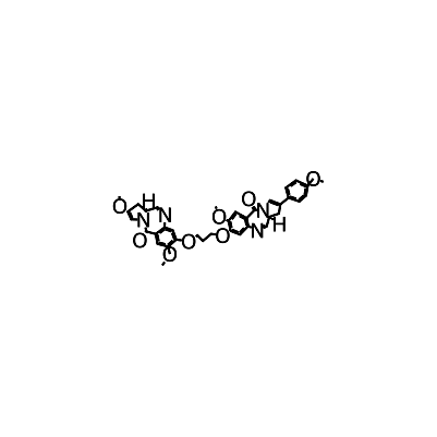 COC1=CN2C(=O)c3cc(OC)c(OCCCOc4cc5c(cc4OC)C(=O)N4C=C(c6ccc(OC)cc6)C[C@@H]4C=N5)cc3N=C[C@@H]2C1